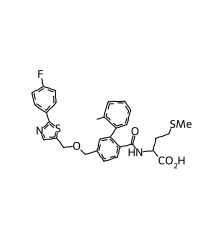 CSCCC(NC(=O)c1ccc(COCc2cnc(-c3ccc(F)cc3)s2)cc1-c1ccccc1C)C(=O)O